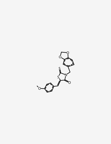 COc1ccc(/C=C2\SC(=S)N(Cc3ccc4c(c3)OCO4)C2=O)cc1